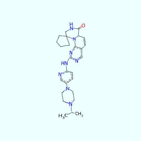 CC(C)N1CCN(c2ccc(Nc3ncc4c(n3)N3C(C=C4)C(=O)NCC34CCCC4)nc2)CC1